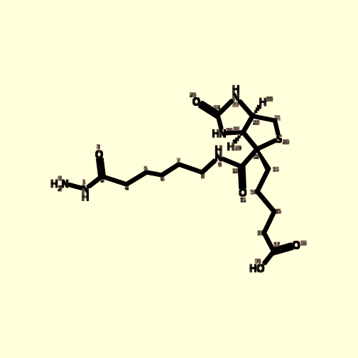 NNC(=O)CCCCCNC(=O)[C@@]1(CCCCC(=O)O)SC[C@@H]2NC(=O)N[C@@H]21